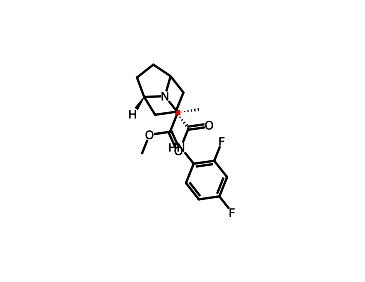 COC(=O)[C@@H](C)N1C2CC[C@H]1C[C@@H](C(=O)Nc1ccc(F)cc1F)C2